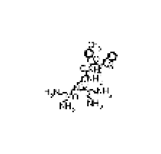 NCCN(CCN)C(=O)CN(CCC[C@H](N)C(=O)N[C@H](Cc1ccc(C(F)(F)F)cc1)C(=O)Nc1cnc2ccccc2c1)CC(=O)N(CCN)CCN